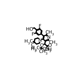 Cc1nc(C)c(C(OC(C)(C)C)C(=O)O)c(N2CCC(C)(C)CC2)c1-c1cc(F)c(CO)c(F)c1